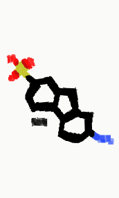 Nc1ccc2c(c1)Cc1cc(S(=O)(=O)O)ccc1-2.[NaH]